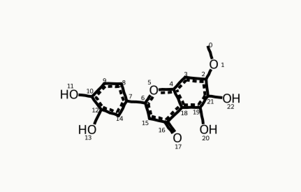 COc1cc2oc(-c3ccc(O)c(O)c3)cc(=O)c2c(O)c1O